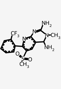 CN1C(N)=Nc2nc(-c3ccccc3C(F)(F)F)c(S(C)(=O)=O)cc2C1N